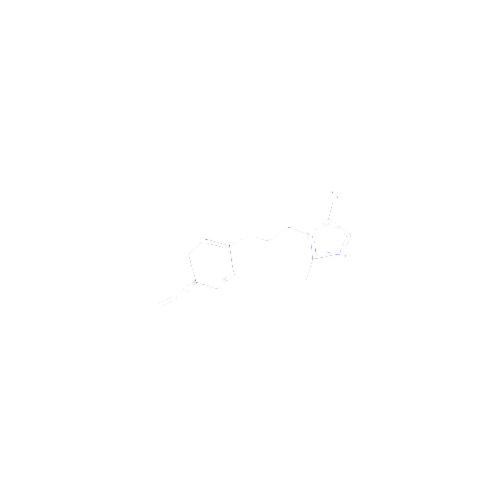 Cc1ncc([N+](=O)[O-])n1CCOC1=CCC(=C=O)C=C1